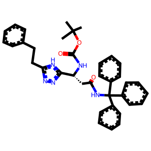 CC(C)(C)OC(=O)N[C@H](CC(=O)NC(c1ccccc1)(c1ccccc1)c1ccccc1)c1nnc(CCc2ccccc2)[nH]1